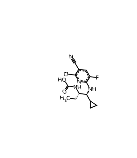 CC[C@H](NC(=O)O)[C@@H](Nc1nc(Cl)c(C#N)cc1F)C1CC1